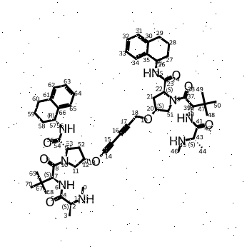 CN[C@@H](C)C(=O)N[C@H](C(=O)N1C[C@@H](OC#CC#CCO[C@H]2C[C@@H](C(=O)N[C@@H]3CCCc4ccccc43)N(C(=O)[C@@H](NC(=O)[C@H](C)NC)C(C)(C)C)C2)C[C@H]1C(=O)N[C@@H]1CCCc2ccccc21)C(C)(C)C